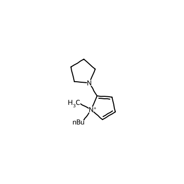 CCCC[N+]1(C)C=CC=C1N1CCCC1